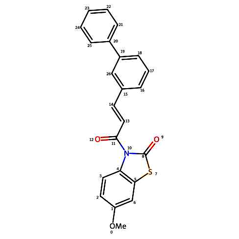 COc1ccc2c(c1)sc(=O)n2C(=O)/C=C/c1cccc(-c2ccccc2)c1